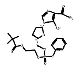 CC(C)(C)C(=O)SCCOP(=O)(OC[C@@H]1CC[C@H](n2cnc(C(N)=O)c2O)O1)Oc1ccccc1